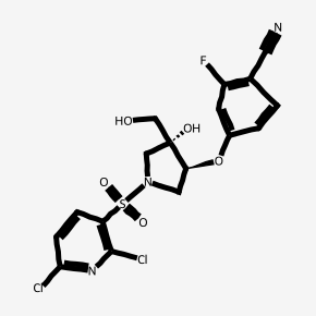 N#Cc1ccc(O[C@H]2CN(S(=O)(=O)c3ccc(Cl)nc3Cl)C[C@@]2(O)CO)cc1F